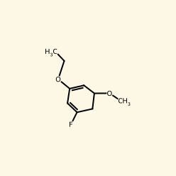 CCOC1=CC(OC)CC(F)=C1